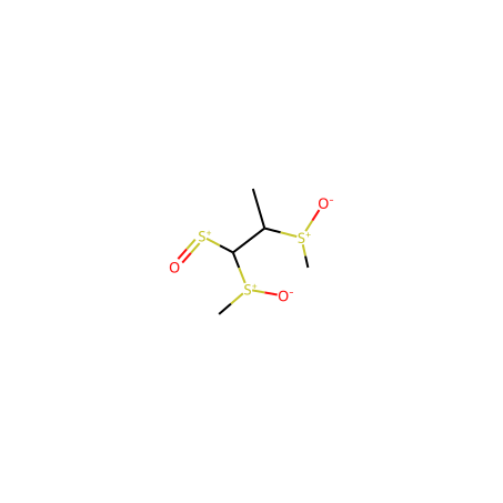 CC(C([S+]=O)[S+](C)[O-])[S+](C)[O-]